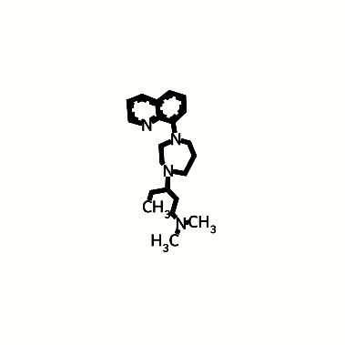 CCC(CCN(C)C)N1CCCN(c2cccc3cccnc23)CC1